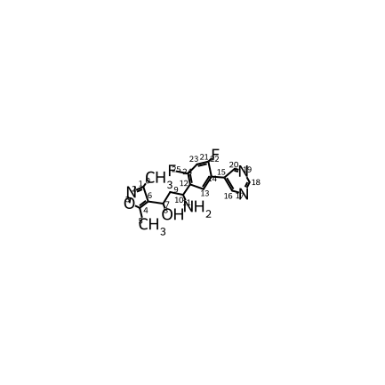 Cc1noc(C)c1C(O)CC(N)c1cc(-c2cncnc2)c(F)cc1F